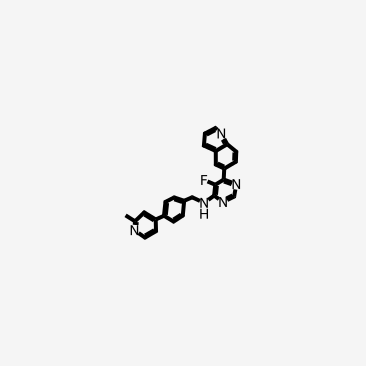 Cc1cc(-c2ccc(CNc3ncnc(-c4ccc5ncccc5c4)c3F)cc2)ccn1